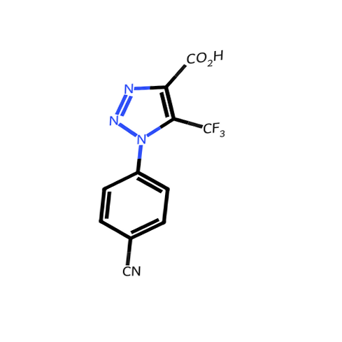 N#Cc1ccc(-n2nnc(C(=O)O)c2C(F)(F)F)cc1